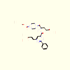 CCOC(=O)N1CCN(C(=O)C(CCC(=O)O)NC(=O)c2cc(C=CC(C)O)nc(-c3ccccc3)n2)CC1